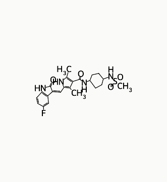 Cc1[nH]c(/C=C2\C(=O)Nc3ccc(F)cc32)c(C)c1C(=O)NC1CCC(NS(C)(=O)=O)CC1